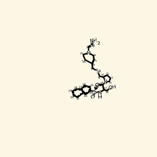 NN=CN1CCC(CSCC2CCCN2C(=O)C(CO)NS(=O)(=O)c2ccc3ccccc3c2)CC1